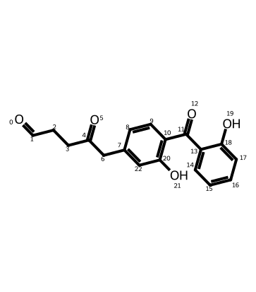 O=CCCC(=O)Cc1ccc(C(=O)c2ccccc2O)c(O)c1